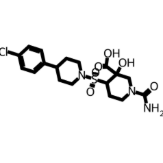 NC(=O)N1CCC(S(=O)(=O)N2CCC(c3ccc(Cl)cc3)CC2)C(O)(C(=O)O)C1